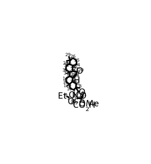 CCC(=O)ON(C(=O)C1(C)CC[C@]2(C)CC[C@]3(C)C(=CC(=O)C4[C@@]5(C)CCCC(C)(C)C5CC[C@]43C)[C@@H]2C1)[C@@H](CC(=O)O)C(=O)OC